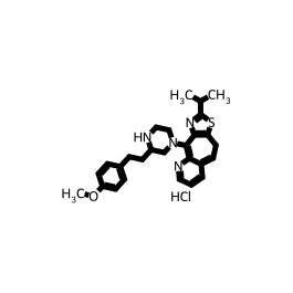 COc1ccc(CCC2CN(C3=c4ncccc4=CCc4sc(C(C)C)nc43)CCN2)cc1.Cl